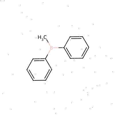 CB(c1ccccc1)c1ccccc1